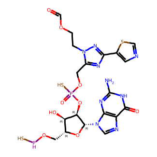 Nc1nc2c(ncn2[C@@H]2O[C@H](COPS)[C@@H](O)[C@H]2OP(=O)(S)OCc2nc(-c3cncs3)nn2CCOC=O)c(=O)[nH]1